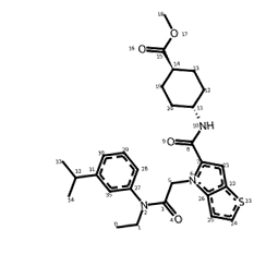 CCN(C(=O)Cn1c(C(=O)N[C@H]2CC[C@H](C(=O)OC)CC2)cc2sccc21)c1cccc(C(C)C)c1